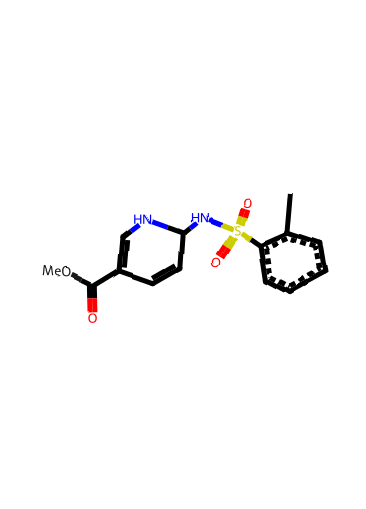 COC(=O)C1=CNC(NS(=O)(=O)c2ccccc2C)C=C1